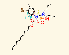 CCCCCCCCCCOC(=O)CN(C(=O)C(F)(F)F)C(Sc1ccc(Br)c(C)c1)(N(CCCC)CCCC)P(=O)(O)O